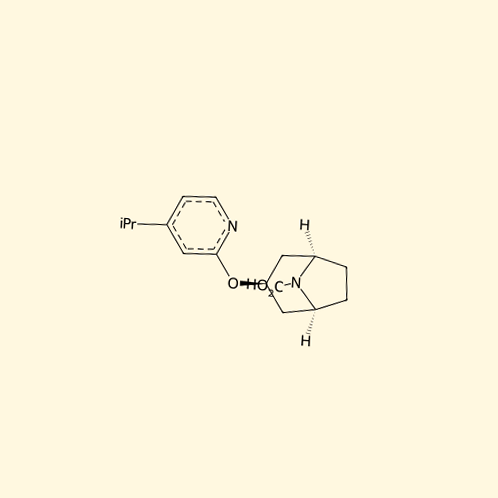 CC(C)c1ccnc(O[C@H]2C[C@H]3CC[C@@H](C2)N3C(=O)O)c1